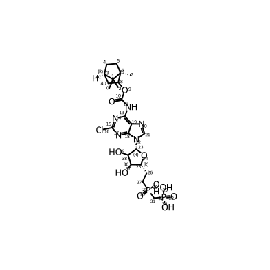 CC1(C)[C@@H]2CC[C@@]1(C)C(OC(=O)Nc1nc(Cl)nc3c1ncn3[C@@H]1O[C@H](CCP(=O)(O)CP(=O)(O)O)C(O)C1O)C2